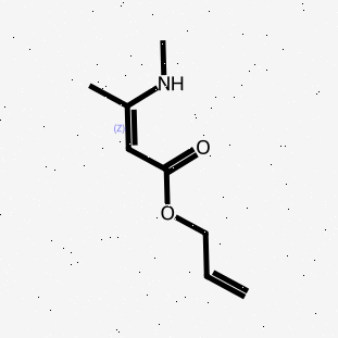 C=CCOC(=O)/C=C(/C)NC